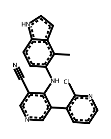 Cc1c(Nc2c(C#N)cncc2-c2cccnc2Cl)ccc2[nH]ccc12